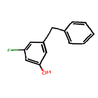 Oc1cc(F)cc(Cc2ccccc2)c1